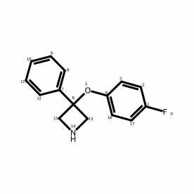 Fc1ccc(OC2(c3ccccc3)CNC2)cc1